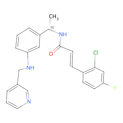 C[C@H](NC(=O)C=Cc1ccc(F)cc1Cl)c1cccc(NCc2cccnc2)c1